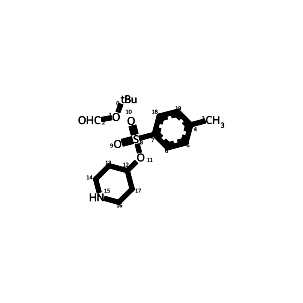 CC(C)(C)OC=O.Cc1ccc(S(=O)(=O)OC2CCNCC2)cc1